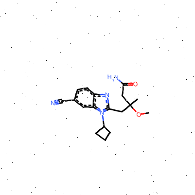 COC(C)(CC(N)=O)Cc1nc2ccc(C#N)cc2n1C1CCC1